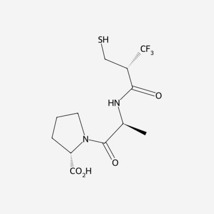 C[C@H](NC(=O)[C@H](CS)C(F)(F)F)C(=O)N1CCC[C@H]1C(=O)O